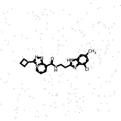 Cc1cc(Cl)c2nc(CCNC(=O)c3cccn4c(C5CCC5)nnc34)[nH]c2c1